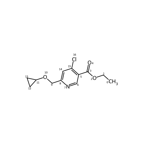 CCOC(=O)c1cnc(COC2CC2)cc1Cl